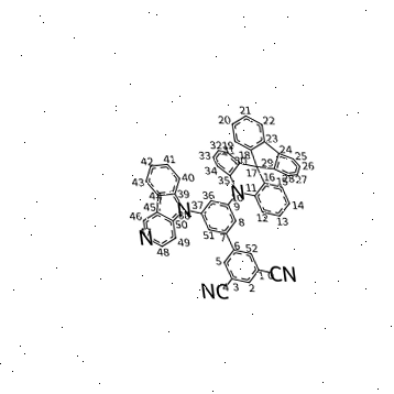 N#Cc1cc(C#N)cc(-c2cc(N3c4ccccc4C4(c5ccccc5-c5ccccc54)c4ccccc43)cc(-n3c4ccccc4c4cnccc43)c2)c1